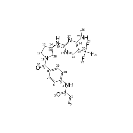 C=CC(=O)Nc1ccc(C(=O)N2CC[C@@H](Nc3ncc(C(F)(F)F)c(NC)n3)C2)cc1